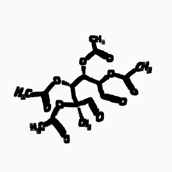 CC(=O)O[C@H]([C@H](C=O)OC(C)=O)[C@@H](OC(C)=O)[C@@](C)(C=O)OC(C)=O